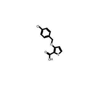 O=C(O)c1sccc1OCc1ccc(Cl)cc1